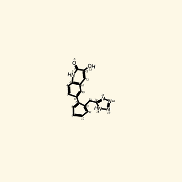 O=c1[nH]c2ccc(-c3ccccc3Cc3nnn[nH]3)cc2cc1O